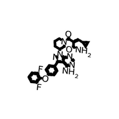 NC(=O)C(=CC1CC1)C(=O)N1CCCC(n2nc(-c3ccc(Oc4c(F)cccc4F)cc3)c3c(N)ncnc32)C1